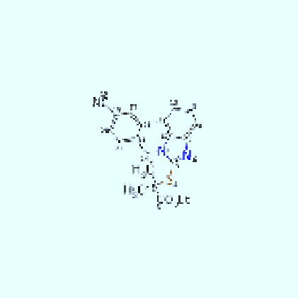 CCOC(=O)C(C)(C)Sc1nc2ccccc2n1Cc1ccc(C#N)cc1